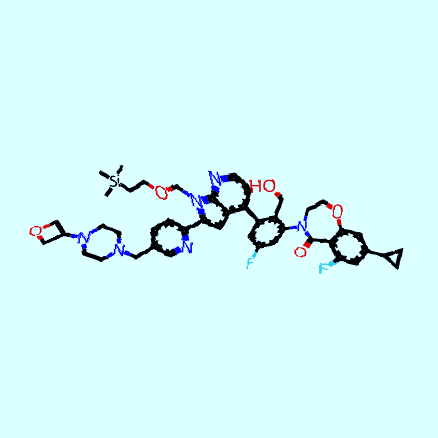 C[Si](C)(C)CCOCn1c(-c2ccc(CN3CCN(C4COC4)CC3)cn2)cc2c(-c3cc(F)cc(N4CCOc5cc(C6CC6)cc(F)c5C4=O)c3CO)ccnc21